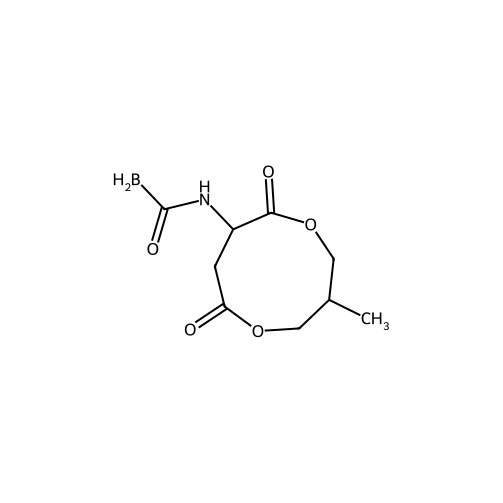 BC(=O)NC1CC(=O)OCC(C)COC1=O